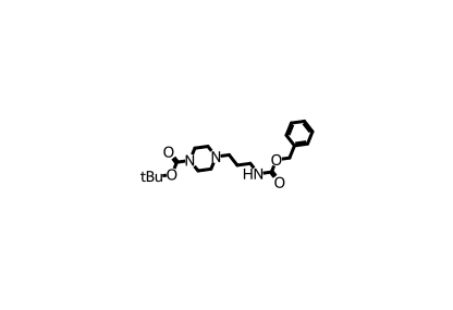 CC(C)(C)OC(=O)N1CCN(CCCNC(=O)OCc2ccccc2)CC1